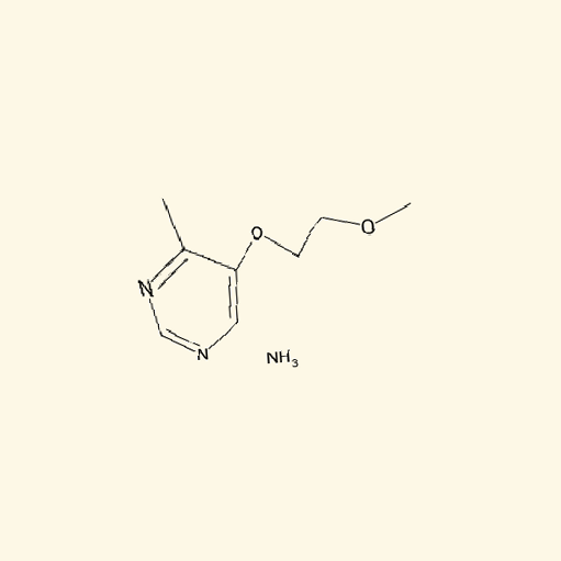 COCCOc1cncnc1C.N